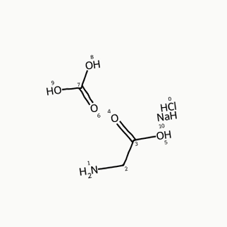 Cl.NCC(=O)O.O=C(O)O.[NaH]